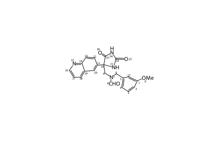 COc1cccc(CN(C=O)CC2(c3ccc4ncccc4c3)NC(=O)NC2=O)c1